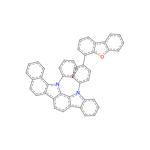 c1ccc(-n2c3c4ccccc4ccc3c3ccc4c5ccccc5n(-c5ccc(-c6cccc7c6oc6ccccc67)cc5)c4c32)cc1